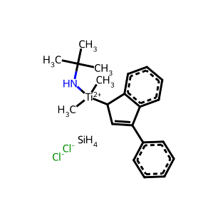 CC(C)(C)[NH][Ti+2]([CH3])([CH3])[CH]1C=C(c2ccccc2)c2ccccc21.[Cl-].[Cl-].[SiH4]